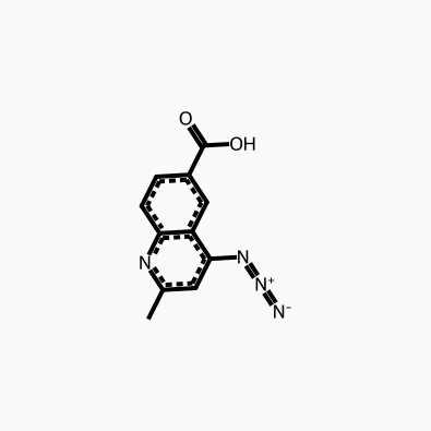 Cc1cc(N=[N+]=[N-])c2cc(C(=O)O)ccc2n1